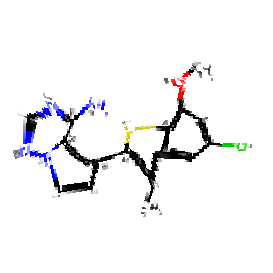 COc1cc(Cl)cc2c(C)c(-c3ccn4ncnc(N)c34)sc12